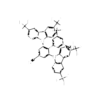 N#Cc1cc(-c2c(-n3c4ccc(C(F)(F)F)cc4c4cc(C(F)(F)F)ccc43)cc(C#N)cc2-n2c3ccc(C(F)(F)F)cc3c3cc(C(F)(F)F)ccc32)cc(C(F)(F)F)c1